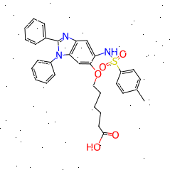 Cc1ccc(S(=O)(=O)Nc2cc3nc(-c4ccccc4)n(-c4ccccc4)c3cc2OCCCCCC(=O)O)cc1